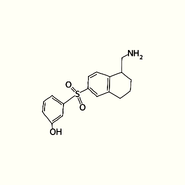 NCC1CCCc2cc(S(=O)(=O)c3cccc(O)c3)ccc21